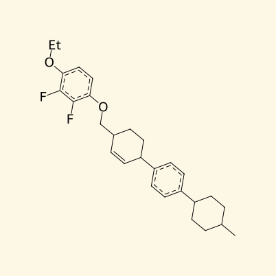 CCOc1ccc(OCC2C=CC(c3ccc(C4CCC(C)CC4)cc3)CC2)c(F)c1F